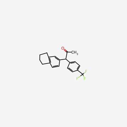 CC(=O)C(c1ccc(C(F)(F)F)cc1)c1ccc2c(c1)CCCC2